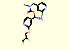 CC(C)(C)N(Cc1ccnc(Cl)c1)C(=O)OC(N)c1ccnc(OCC(F)CF)c1